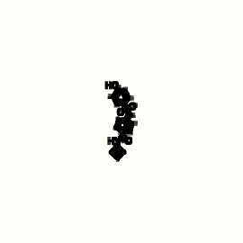 O=C(NC1CCC1)C12CCC(CS(=O)(=O)c3ccc(O)cc3)(CC1)C2